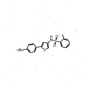 CCCCc1ccc(-c2cc(NS(=O)(=O)c3ccccc3C)cs2)cc1